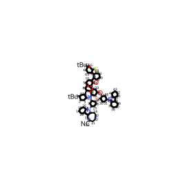 CC(C)(C)c1ccc(N2c3cc(-n4c5c(c6ccccc64)/C=C(/C#N)C/C=C\C5)ccc3B3c4ccc(-n5c6ccccc6c6ccccc65)cc4Oc4cc(-c5cccc6c5oc5ccc7sc8cc(C(C)(C)C)ccc8c7c56)cc2c43)c(-c2ccccc2)c1